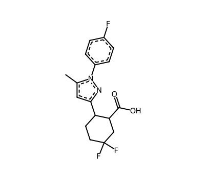 Cc1cc(C2CCC(F)(F)CC2C(=O)O)nn1-c1ccc(F)cc1